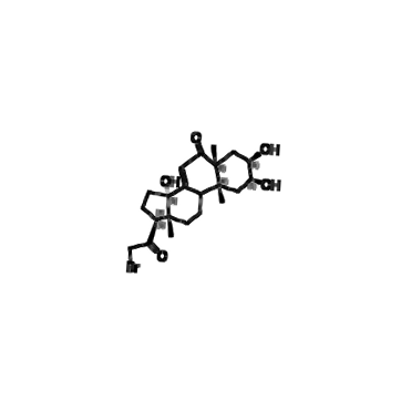 C[C@@]12C[C@@H](O)[C@@H](O)C[C@]1(C)C1CC[C@]3(C)[C@@H](C(=O)CBr)CC[C@@]3(O)C1=CC2=O